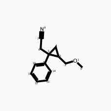 COCC1CC1(CC#N)c1ccccc1